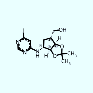 CC1(C)O[C@@H]2[C@@H](CO)C[C@@H](Nc3cc(I)ncn3)[C@@H]2O1